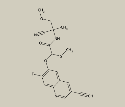 C#Cc1cnc2cc(F)c(OC(SC)C(=O)NC(C)(C#N)COC)cc2c1